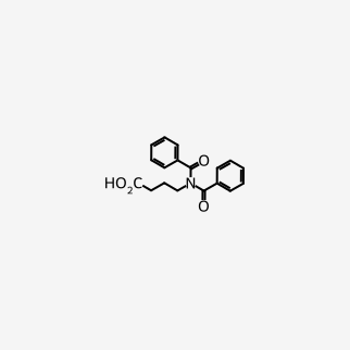 O=C(O)CCCN(C(=O)c1ccccc1)C(=O)c1ccccc1